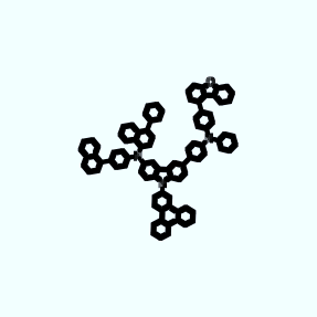 c1ccc(-c2ccc(N(c3ccc(-c4cccc5ccccc45)cc3)c3ccc4c(c3)c3cc(-c5ccc(N(c6ccccc6)c6ccc(-c7cccc8oc9ccccc9c78)cc6)cc5)ccc3n4-c3ccc4c5ccccc5c5ccccc5c4c3)c3ccccc23)cc1